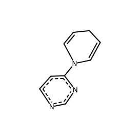 C1=CN(c2ccncn2)C=CC1